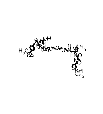 Cc1ncsc1-c1ccc(CNC(=O)[C@@H]2C[C@@H](O)CN2C(=O)[C@@H](NCCOCCOCCOCCNCc2nn(C)cc2NC(=O)c2coc(-c3ccnc(NCC(F)(F)F)c3)n2)C(C)(C)C)cc1